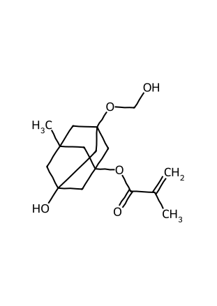 C=C(C)C(=O)OC12CC3(C)CC(O)(CC(OCO)(C3)C1)C2